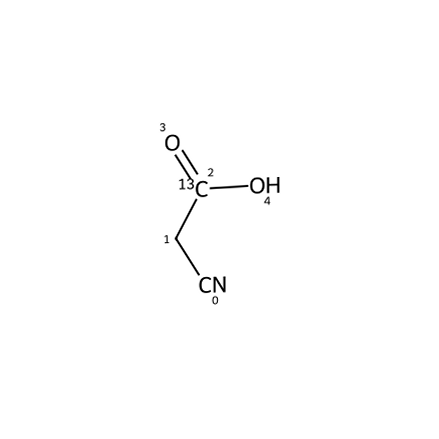 N#CC[13C](=O)O